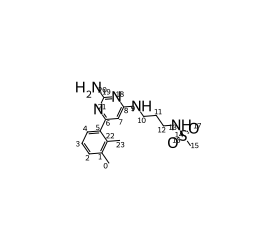 Cc1cccc(-c2cc(NCCCNS(C)(=O)=O)nc(N)n2)c1C